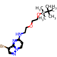 CC(C)(C)[Si](C)(C)OCCOCCNc1ccn2ncc(Br)c2n1